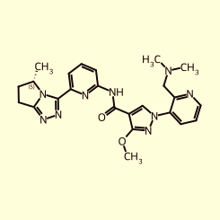 COc1nn(-c2cccnc2CN(C)C)cc1C(=O)Nc1cccc(-c2nnc3n2[C@@H](C)CC3)n1